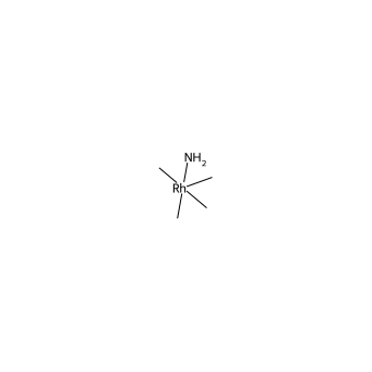 [CH3][Rh]([CH3])([CH3])([CH3])[NH2]